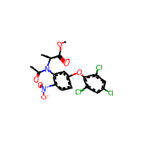 COC(=O)C(C)N(C(C)=O)c1cc(Oc2c(Cl)cc(Cl)cc2Cl)ccc1[N+](=O)[O-]